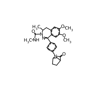 CNC(=O)N1N=C(c2ccc(N3C(=O)C4CCC3C4)cc2)c2cc(OC)c(OC)cc2CC1C